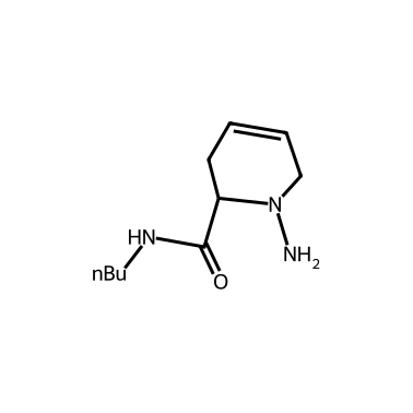 CCCCNC(=O)C1CC=CCN1N